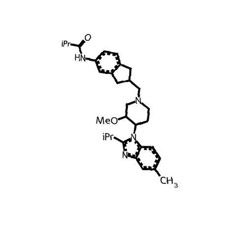 COC1CN(CC2Cc3ccc(NC(=O)C(C)C)cc3C2)CCC1n1c(C(C)C)nc2cc(C)ccc21